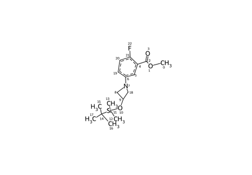 COC(=O)c1cc(N2CC(O[Si](C)(C)C(C)(C)C)C2)ccc1F